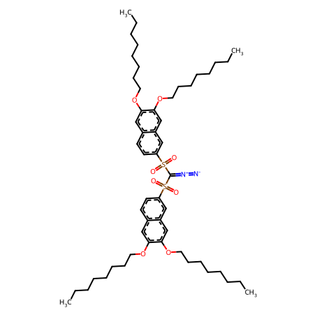 CCCCCCCCOc1cc2ccc(S(=O)(=O)C(=[N+]=[N-])S(=O)(=O)c3ccc4cc(OCCCCCCCC)c(OCCCCCCCC)cc4c3)cc2cc1OCCCCCCCC